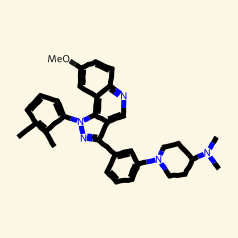 COc1ccc2ncc3c(-c4cccc(N5CCC(N(C)C)CC5)c4)nn(-c4cccc(C)c4C)c3c2c1